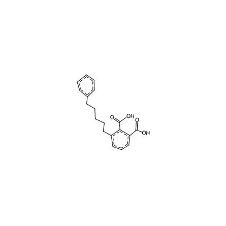 O=C(O)c1cccc(CCCCCc2ccccc2)c1C(=O)O